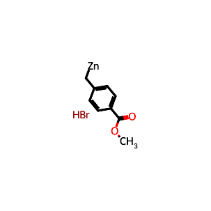 Br.COC(=O)c1ccc([CH2][Zn])cc1